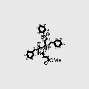 COC(=O)CCC(=O)N[C@@H](Cc1ccccc1)C(=O)N[C@@H](CCc1ccccc1)CCS(=O)(=O)c1ccccc1